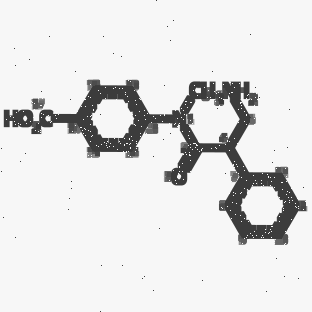 CN(C(=O)C(CN)c1ccccc1)c1ccc(C(=O)O)cc1